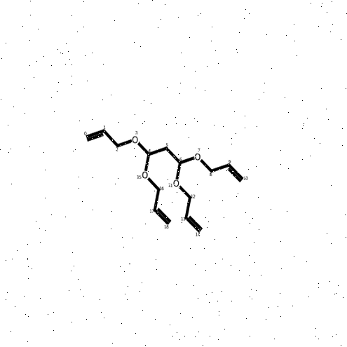 C=CCOC(CC(OCC=C)OCC=C)OCC=C